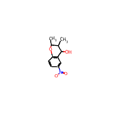 CC1Oc2ccc([N+](=O)[O-])cc2C(O)C1C